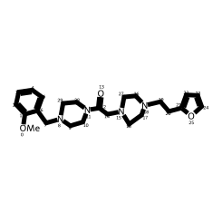 COc1ccccc1CN1CCN(C(=O)CN2CCN(CCc3ccco3)CC2)CC1